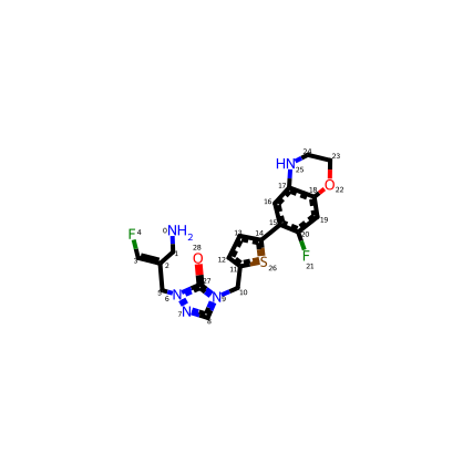 NC/C(=C\F)Cn1ncn(Cc2ccc(-c3cc4c(cc3F)OCCN4)s2)c1=O